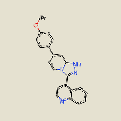 CC(C)Oc1ccc(C2=CC3NN=C(c4ccnc5ccccc45)N3C=C2)cc1